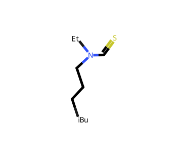 CCC(C)CCCN(C=S)CC